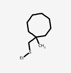 CCSCC1(C)CCCCCCC1